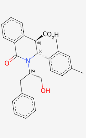 Cc1ccc([C@H]2[C@H](C(=O)O)c3ccccc3C(=O)N2[C@H](CO)Cc2ccccc2)c(C)c1